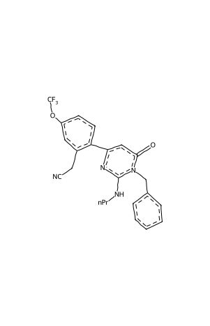 CCCNc1nc(-c2ccc(OC(F)(F)F)cc2CC#N)cc(=O)n1Cc1ccccc1